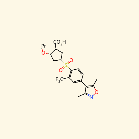 Cc1noc(C)c1-c1ccc(S(=O)(=O)[C@@H]2C[C@H](OC(C)C)[C@@H](C(=O)O)C2)c(C(F)(F)F)c1